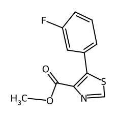 COC(=O)c1ncsc1-c1cccc(F)c1